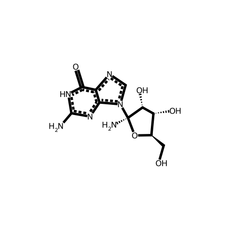 Nc1nc2c(ncn2[C@]2(N)O[C@H](CO)[C@@H](O)[C@H]2O)c(=O)[nH]1